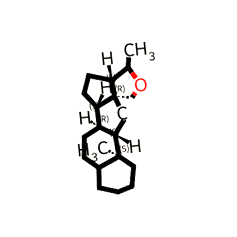 CC1OC[C@]23CC[C@H]4[C@@H](CCC5CCCC[C@@]54C)[C@@H]2CC[C@H]13